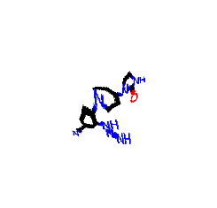 N#Cc1ccc(N2CCC(N3CCNC3=O)CC2)c(NN=N)c1